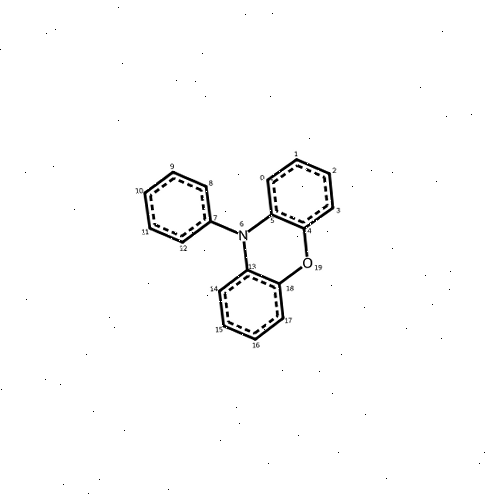 [c]1cccc2c1N(c1ccccc1)c1ccccc1O2